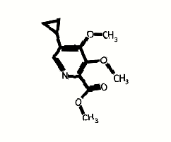 COC(=O)c1ncc(C2CC2)c(OC)c1OC